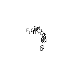 CN(CC(F)(F)F)C(=O)Nc1ccc(F)c(-c2cn3cc(C4=CCOCC4)cnc3n2)c1